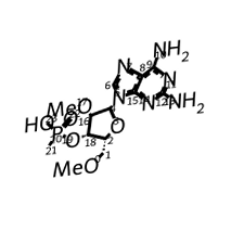 COC[C@H]1O[C@@H](n2cnc3c(N)nc(N)nc32)[C@@H](OC)[C@H]1OP(C)(=O)O